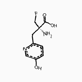 N[C@@](CF)(Cc1ccc(O)cn1)C(=O)O